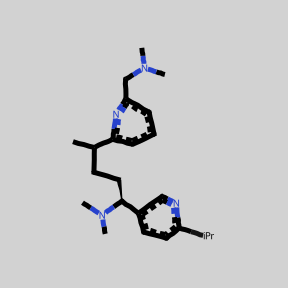 CC(C)c1ccc([C@H](CCC(C)c2cccc(CN(C)C)n2)N(C)C)cn1